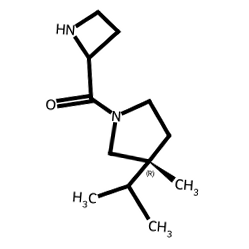 CC(C)[C@@]1(C)CCN(C(=O)C2CCN2)C1